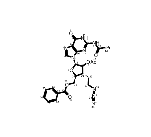 CC(=O)OC1[C@H](n2cnc3c(=O)[nH]c(NC(=O)C(C)C)nc32)O[C@H](COC(=O)c2ccccc2)[C@H]1CCN=[N+]=[N-]